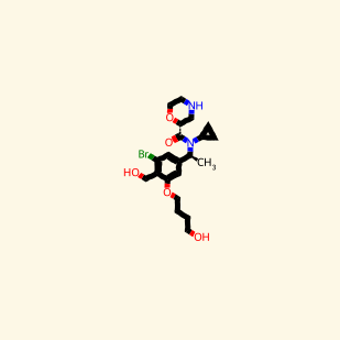 C[C@@H](c1cc(Br)c(CO)c(OCCCCO)c1)N(C(=O)[C@H]1CNCCO1)C1CC1